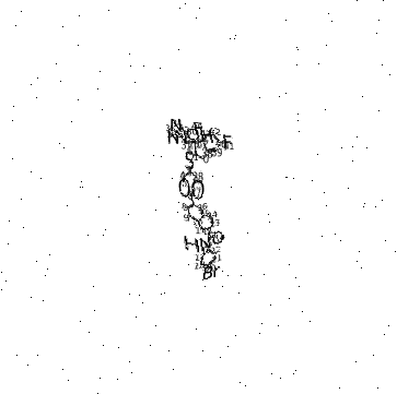 CC(SC1COC(c2ccc3cc(C(=O)Nc4ccc(Br)cc4)ccc3c2)OC1)C(O)(Cn1cncn1)c1ccc(F)cc1F